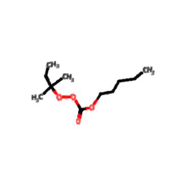 CCCCCOC(=O)OOC(C)(C)CC